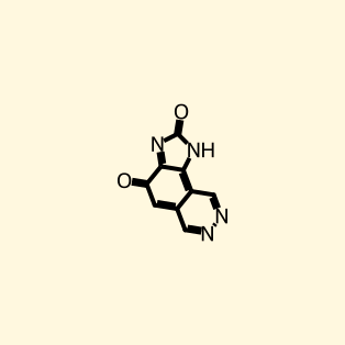 O=C1N=C2C(=O)C=c3cnncc3=C2N1